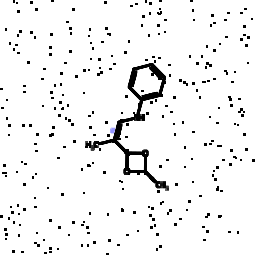 C/C(=C/Nc1ccccc1)C1OC(C)O1